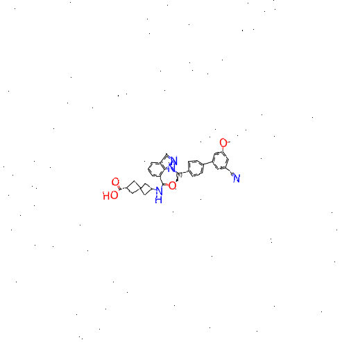 COc1cc(C#N)cc(-c2ccc([C@@H](C)n3ncc4cccc(C(=O)NC5CC6(C5)CC(C(=O)O)C6)c43)cc2)c1